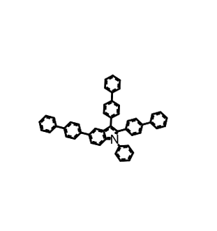 c1ccc(-c2ccc(-c3ccc4c(c3)c(-c3ccc(-c5ccccc5)cc3)c(-c3ccc(-c5ccccc5)cc3)n4-c3ccccc3)cc2)cc1